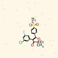 CCC1(C)OC(c2ccc(S(C)(=O)=O)cc2)=C(c2cc(F)cc(Cl)c2)C1=O